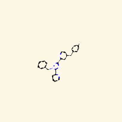 O=[N+]([O-])c1ccc(Cc2ccnc(-c3nc(-c4ccccn4)n(Cc4ccccc4)n3)c2)cc1